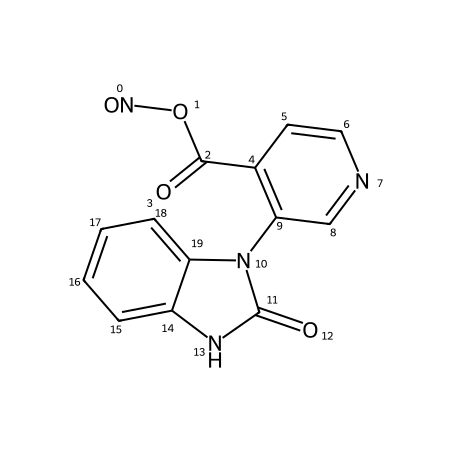 O=NOC(=O)c1ccncc1-n1c(=O)[nH]c2ccccc21